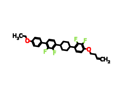 C=CCCOc1ccc(C2CCC(c3ccc(-c4ccc(OCC)cc4)c(F)c3F)CC2)c(F)c1F